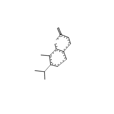 Cc1c(C(C)C)ccc2ccc(=O)oc12